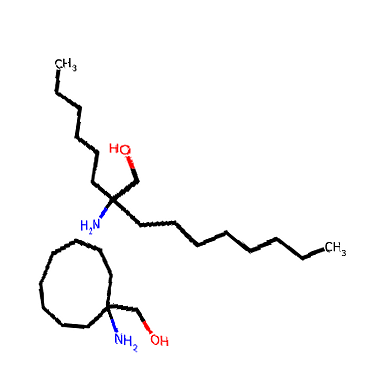 CCCCCCCCC(N)(CO)CCCCCC.NC1(CO)CCCCCCCC1